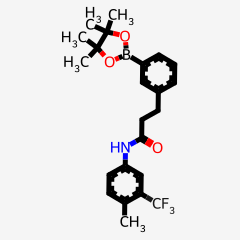 Cc1ccc(NC(=O)CCc2cccc(B3OC(C)(C)C(C)(C)O3)c2)cc1C(F)(F)F